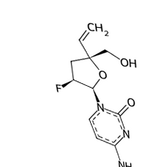 C=C[C@@]1(CO)C[C@H](F)[C@H](n2ccc(N)nc2=O)O1